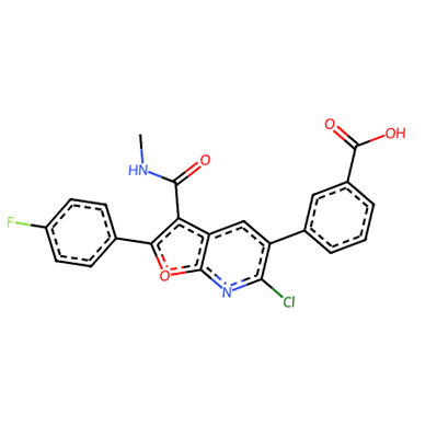 CNC(=O)c1c(-c2ccc(F)cc2)oc2nc(Cl)c(-c3cccc(C(=O)O)c3)cc12